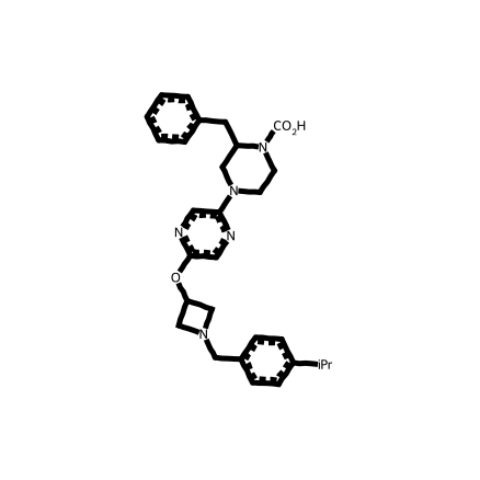 CC(C)c1ccc(CN2CC(Oc3cnc(N4CCN(C(=O)O)C(Cc5ccccc5)C4)cn3)C2)cc1